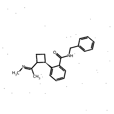 C/N=C(\C)C1CC[C@H]1c1ccccc1C(=O)NCc1ccccc1